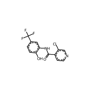 O=C(Nc1cc(C(F)(F)F)ccc1O)c1ccncc1Cl